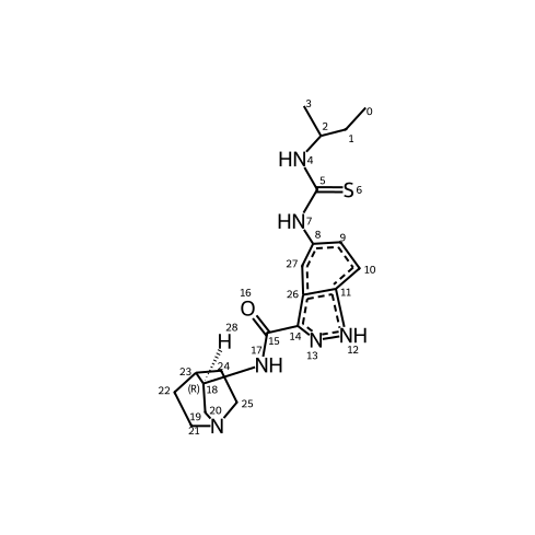 CCC(C)NC(=S)Nc1ccc2[nH]nc(C(=O)N[C@H]3CN4CCC3CC4)c2c1